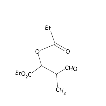 CCOC(=O)C(OC(=O)CC)C(C)C=O